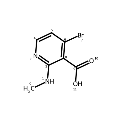 CNc1nccc(Br)c1C(=O)O